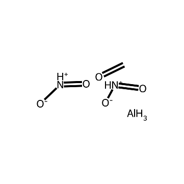 C=O.O=[NH+][O-].O=[NH+][O-].[AlH3]